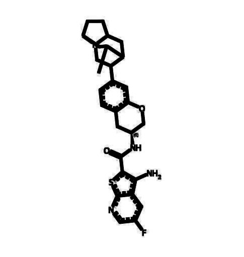 CC1CC2CCC3CC1C(c1ccc4c(c1)OC[C@@H](NC(=O)c1sc5ncc(F)cc5c1N)C4)CN23